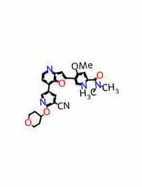 COc1cc(C(=O)N(C)C)ncc1-c1cc2nccc(-c3cnc(OC4CCOCC4)c(C#N)c3)c2o1